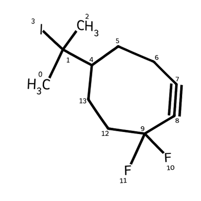 CC(C)(I)C1CCC#CC(F)(F)CC1